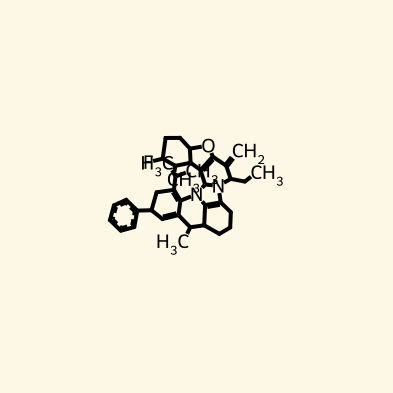 C=C1C2=C(C3C(CCC(F)C3C)O2)C2N3C4=C(C(C)C)CC(c5ccccc5)C=C4C(C)C4CCCC(=C43)N2C1CC